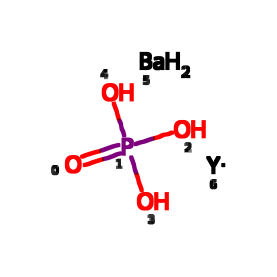 O=P(O)(O)O.[BaH2].[Y]